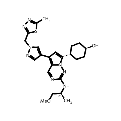 COC[C@H](C)Nc1ncc2c(-c3cnn(Cc4nnc(C)s4)c3)cc([C@H]3CC[C@H](O)CC3)n2n1